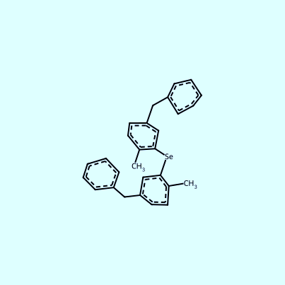 Cc1ccc(Cc2ccccc2)cc1[Se]c1cc(Cc2ccccc2)ccc1C